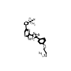 CC(C)(C#N)c1cc(-c2cnc(N)c(-c3nnc(-c4ccc(OCCN)cc4)o3)n2)ccn1